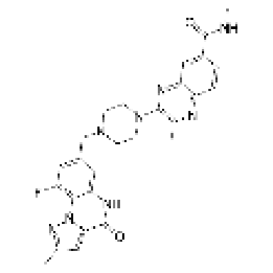 CNC(=O)c1ccc2nc(C)c(N3CCN(Cc4cc(F)c5c(c4)[nH]c(=O)c4cc(C)nn45)CC3)nc2c1